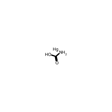 NC(=O)O.[Hg]